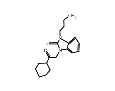 CCCCn1c(=O)n(CC(=O)C2CCCCC2)c2ccccc21